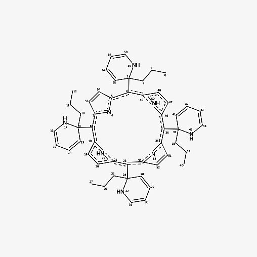 CCCC1(c2c3nc(c(C4(CCC)C=CC=CN4)c4ccc([nH]4)c(C4(CCC)C=CC=CN4)c4nc(c(C5(CCC)C=CC=CN5)c5ccc2[nH]5)C=C4)C=C3)C=CC=CN1